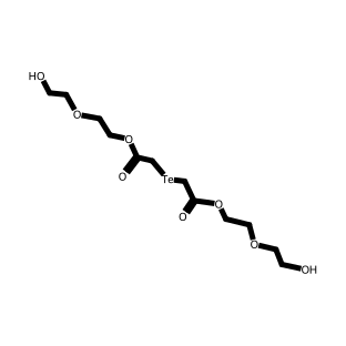 O=C(C[Te]CC(=O)OCCOCCO)OCCOCCO